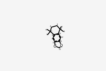 CC1(C)CCC(C)(C)c2cc3c(cc21)OCO3